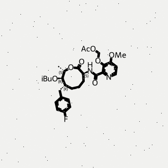 COc1ccnc(C(=O)N[C@H]2CCC[C@H](Cc3ccc(F)cc3)[C@@H](OCC(C)C)[C@H](C)OC2=O)c1OCOC(C)=O